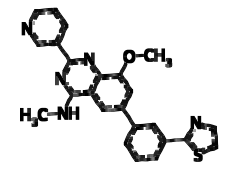 CNc1nc(-c2cccnc2)nc2c(OC)cc(-c3cccc(-c4nccs4)c3)cc12